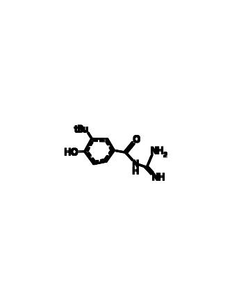 CC(C)(C)c1cc(C(=O)NC(=N)N)ccc1O